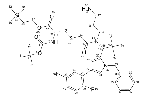 CC(C)(C)OC(=O)N[C@@H](CSCC(=O)N(CCCN)[C@@H](c1cc(-c2cc(F)ccc2F)cn1Cc1ccccc1)C(C)(C)C)C(=O)OCC[Si](C)(C)C